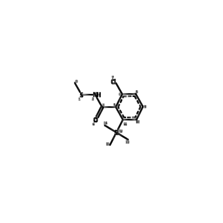 CSNC(=O)c1c(Cl)cccc1[Si](C)(C)C